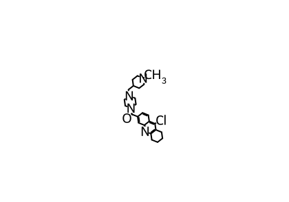 CN1CCC(CN2CCN(C(=O)c3ccc4c(Cl)c5c(nc4c3)CCCC5)CC2)CC1